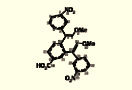 COC=C(c1cccc([N+](=O)[O-])c1)c1ccc(C(=O)O)cc1C(=COC)c1cccc([N+](=O)[O-])c1